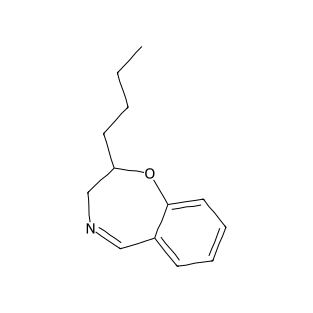 CCCCC1CN=Cc2ccccc2O1